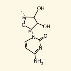 C[C@H]1O[C@@H](n2ccc(N)nc2=O)C(O)C1O